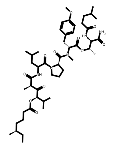 CC[C@@H](C)CCCC(=O)O[C@@H](C(=O)[C@@H](C)C(=O)NC(CC(C)C)C(=O)N1CCC[C@@H]1C(=O)N(C)[C@H](Cc1ccc(OC)cc1)C(=O)O[C@@H](C)[C@@H](NC(=O)CCC(C)C)C(N)=O)C(C)C